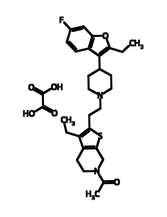 CCc1oc2cc(F)ccc2c1C1CCN(CCc2sc3c(c2CC)CCN(C(C)=O)C3)CC1.O=C(O)C(=O)O